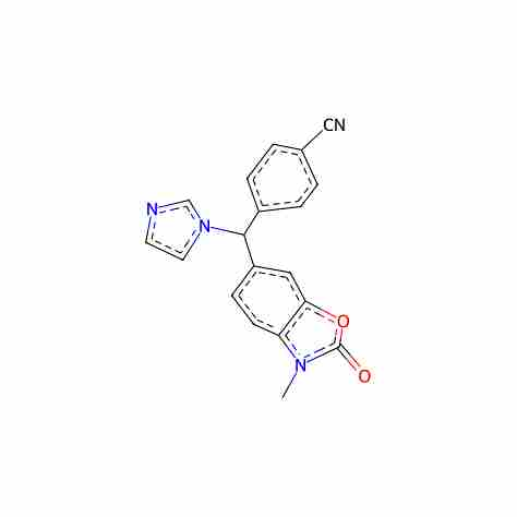 Cn1c(=O)oc2cc(C(c3ccc(C#N)cc3)n3ccnc3)ccc21